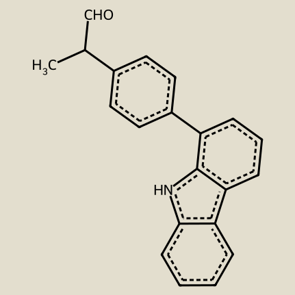 CC(C=O)c1ccc(-c2cccc3c2[nH]c2ccccc23)cc1